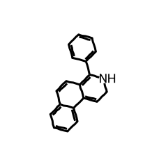 C1=c2c(ccc3ccccc23)=C(c2ccccc2)NC1